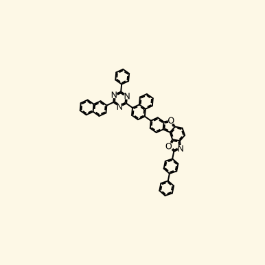 c1ccc(-c2ccc(-c3nc4ccc5oc6cc(-c7ccc(-c8nc(-c9ccccc9)nc(-c9ccc%10ccccc%10c9)n8)c8ccccc78)ccc6c5c4o3)cc2)cc1